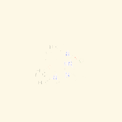 COc1cccc(C2(C)CCN(C(=O)Nc3c(Cl)cccc3N3CCN(C(C)C)CC3)C2)c1